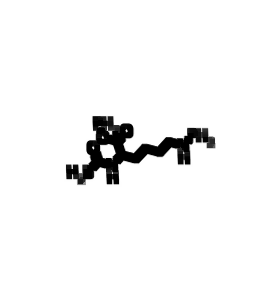 BC(=O)NC(CCCCNP)C(=O)OP